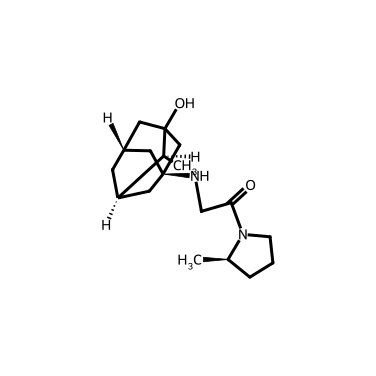 C[C@@H]1CCCN1C(=O)CN[C@]12C[C@@H]3C[C@H](C1)[C@H](C)C(O)(C3)C2